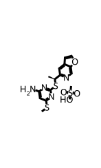 CS(=O)(=O)O.CSc1cc(N)nc(S[C@@H](C)c2cc3ccoc3cn2)n1